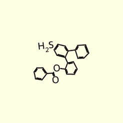 O=C(Oc1ccccc1-c1ccccc1-c1ccccc1)c1ccccc1.S